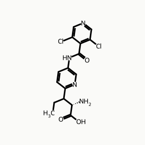 CCC(c1ccc(NC(=O)c2c(Cl)cncc2Cl)cn1)[C@H](N)C(=O)O